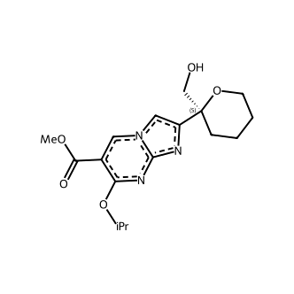 COC(=O)c1cn2cc([C@]3(CO)CCCCO3)nc2nc1OC(C)C